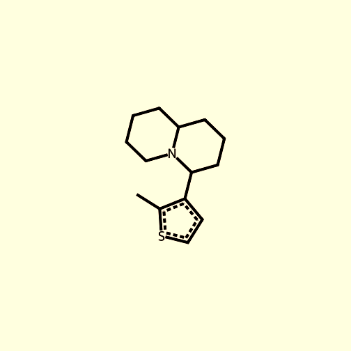 Cc1sccc1C1CCCC2CCCCN21